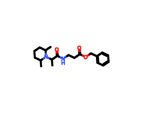 CC1CCCC(C)N1C(C)C(=O)NCCC(=O)OCc1ccccc1